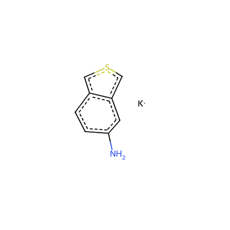 Nc1ccc2cscc2c1.[K]